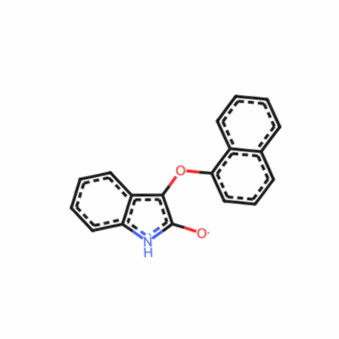 [O]c1[nH]c2ccccc2c1Oc1cccc2ccccc12